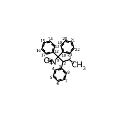 CCC(c1ccccc1)C(N=O)(c1ccccc1)c1ccccc1